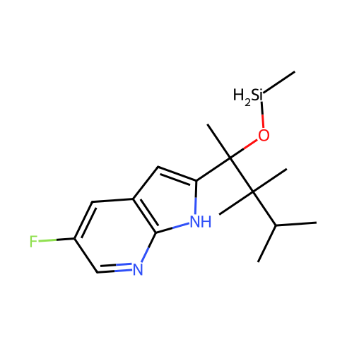 C[SiH2]OC(C)(c1cc2cc(F)cnc2[nH]1)C(C)(C)C(C)C